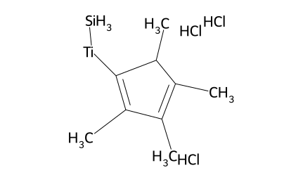 CC1=C(C)C(C)[C]([Ti][SiH3])=C1C.Cl.Cl.Cl